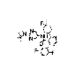 C[C@H]1CCN1c1ncc(NC(=O)c2c(-c3cc(F)ccc3F)ccnc2C2CCC(F)(F)CC2)cn1